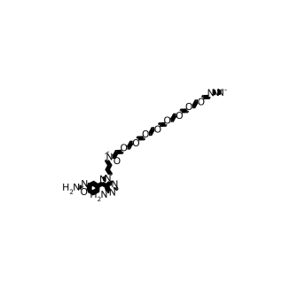 CN(CCCCn1nc(-c2ccc3oc(N)nc3c2)c2c(N)ncnc21)C(=O)CCOCCOCCOCCOCCOCCOCCOCCOCCN=[N+]=[N-]